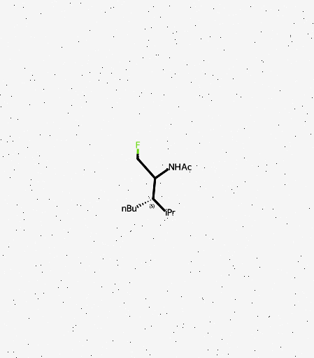 CCCC[C@@H](C(C)C)C(CF)NC(C)=O